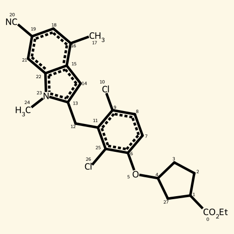 CCOC(=O)C1CCC(Oc2ccc(Cl)c(Cc3cc4c(C)cc(C#N)cc4n3C)c2Cl)C1